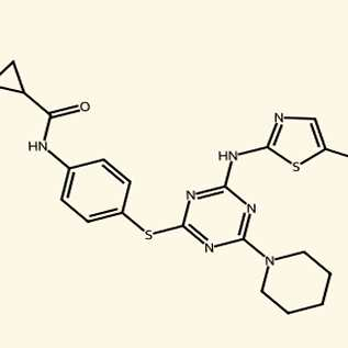 Cc1cnc(Nc2nc(Sc3ccc(NC(=O)C4CC4)cc3)nc(N3CCCCC3)n2)s1